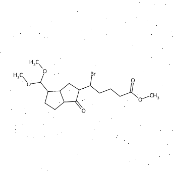 COC(=O)CCCC(Br)C1CC2C(CCC2C(OC)OC)C1=O